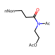 CCCCCCCCCCCC(=O)N(CCOC(C)=O)C(C)=O